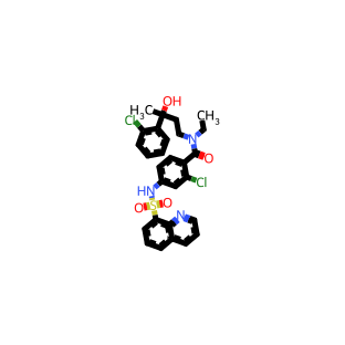 CCN(CCC(C)(O)c1ccccc1Cl)C(=O)c1ccc(NS(=O)(=O)c2cccc3cccnc23)cc1Cl